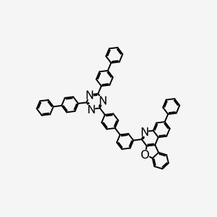 c1ccc(-c2ccc(-c3nc(-c4ccc(-c5ccccc5)cc4)nc(-c4ccc(-c5cccc(-c6nc7cc(-c8ccccc8)ccc7c7c6oc6ccccc67)c5)cc4)n3)cc2)cc1